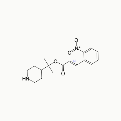 CC(C)(OC(=O)/C=C/c1ccccc1[N+](=O)[O-])C1CCNCC1